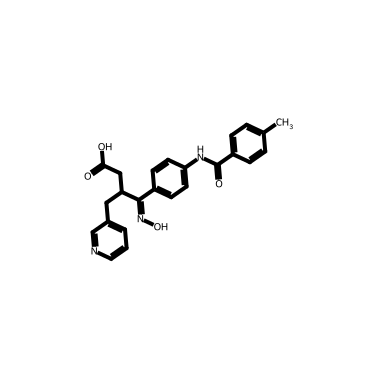 Cc1ccc(C(=O)Nc2ccc(C(=NO)C(CC(=O)O)Cc3cccnc3)cc2)cc1